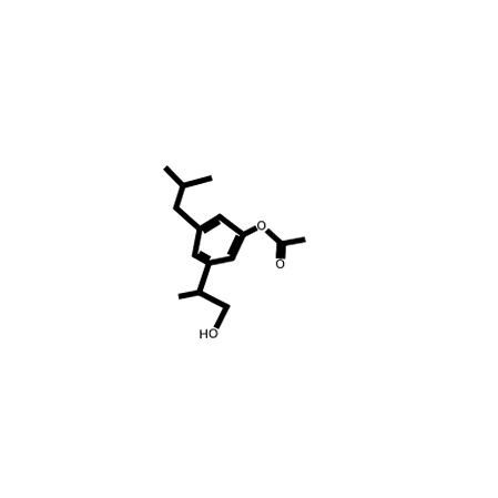 C[C](CO)c1cc(CC(C)C)cc(OC(C)=O)c1